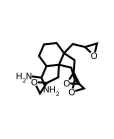 NC(N)C1CCCC(CC2CO2)(CC2CO2)C1(CC1CO1)CC1CO1